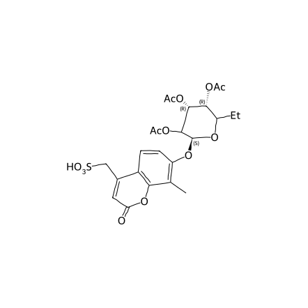 CCC1O[C@@H](Oc2ccc3c(CS(=O)(=O)O)cc(=O)oc3c2C)C(OC(C)=O)[C@H](OC(C)=O)[C@@H]1OC(C)=O